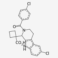 O=C(c1ccc(Cl)cc1)N1CCc2c([nH]c3ccc(Cl)cc23)C1C1(C(=O)O)CCC1